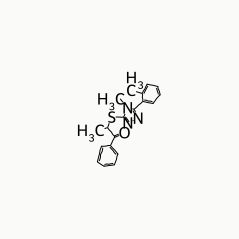 Cc1ccccc1-c1nnc(SC(C)C(=O)c2ccccc2)n1C